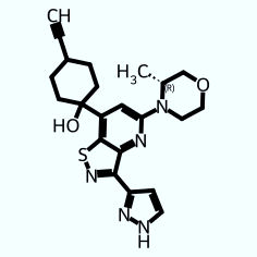 C#CC1CCC(O)(c2cc(N3CCOC[C@H]3C)nc3c(-c4cc[nH]n4)nsc23)CC1